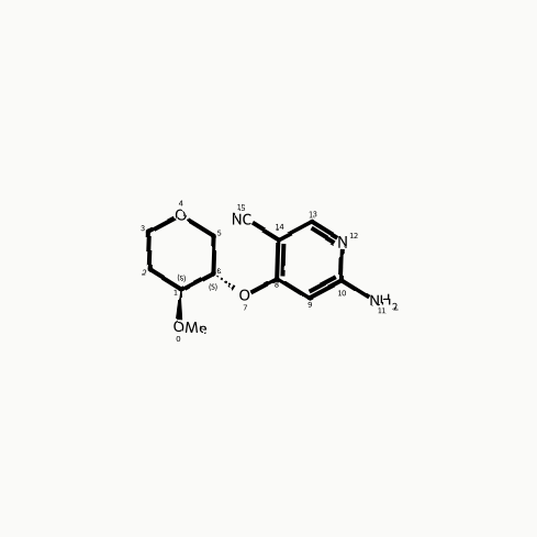 CO[C@H]1CCOC[C@@H]1Oc1cc(N)ncc1C#N